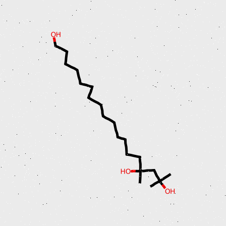 CC(C)(O)CC(C)(O)CCCCCCCCCCCCCCO